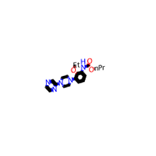 CCCOC(=O)Nc1cccc(N2CCN(c3cnccn3)CC2)c1OCC